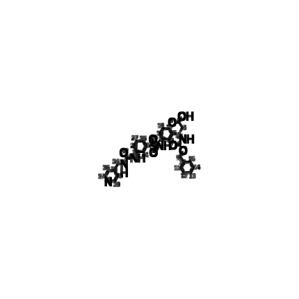 O=C(O)C[C@@H](NC(=O)OCc1ccccc1)c1cccc(NS(=O)(=O)c2cccc(NC(=O)NCc3ccncc3)c2)c1